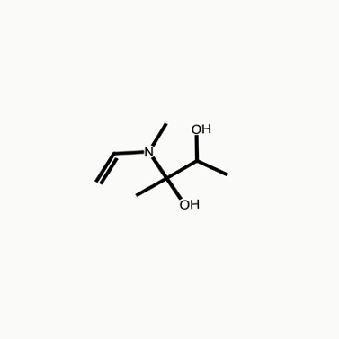 C=CN(C)C(C)(O)C(C)O